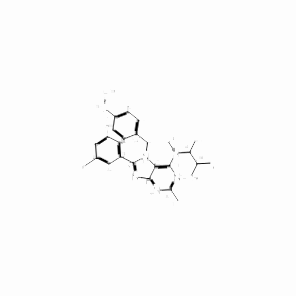 Cc1cccc(-c2nc3nc(C)nc(N(C)C(C)C(C)C)c3n2Cc2ccc(SF)cc2)c1